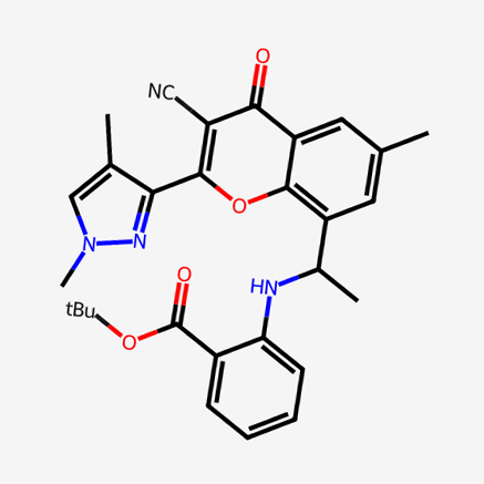 Cc1cc(C(C)Nc2ccccc2C(=O)OC(C)(C)C)c2oc(-c3nn(C)cc3C)c(C#N)c(=O)c2c1